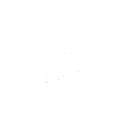 Cc1cc(Nc2ccc(C(=O)N(C)c3cccc(Nc4ccnnc4)c3)cc2)ccn1